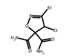 CCC1=NOC(C(N)=O)(C(N)=O)C1CC